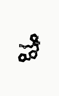 CCOCCn1c(CN2CCN(Cc3ccccc3)CC2)nc2ncccc21